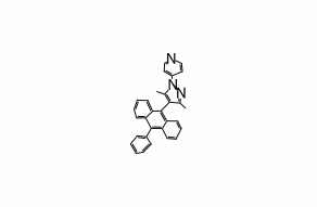 Cc1nn(-c2ccncc2)c(C)c1-c1c2ccccc2c(-c2ccccc2)c2ccccc12